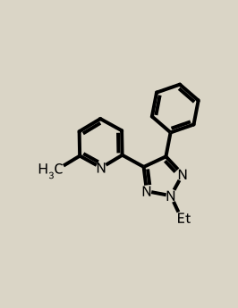 CCn1nc(-c2ccccc2)c(-c2cccc(C)n2)n1